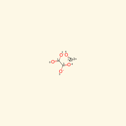 O=C([O-])C(=O)[O-].[O]=[Zr+2]